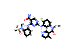 Cc1ccncc1C(=O)N(C=O)c1ccc(F)c(Nc2ncc(C(N)=O)c(Nc3ccccc3N(C)S(C)(=O)=O)n2)c1